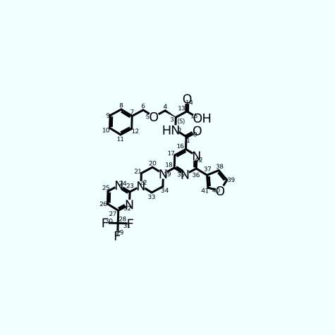 O=C(N[C@@H](COCc1ccccc1)C(=O)O)c1cc(N2CCN(c3nccc(C(F)(F)F)n3)CC2)nc(-c2ccoc2)n1